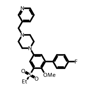 CCS(=O)(=O)c1cc(N2CCN(Cc3cccnc3)CC2)cc(-c2ccc(F)cc2)c1OC